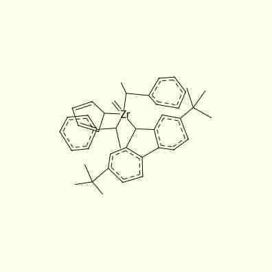 [CH2]=[Zr]([CH]1C=CC=C1)([CH](C)c1ccccc1)([CH](C)c1ccccc1)[CH]1c2cc(C(C)(C)C)ccc2-c2ccc(C(C)(C)C)cc21